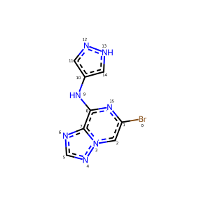 Brc1cn2ncnc2c(Nc2cn[nH]c2)n1